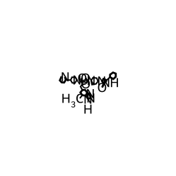 Cc1cc(CC(OC(=O)N2CCC(n3cc(-c4ccccc4)[nH]c3=O)CC2)C(=O)N2CCC(c3ccccn3)CC2)cc2nn[nH]c12